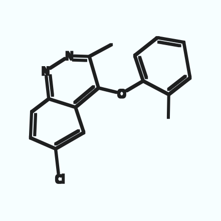 Cc1ccccc1Oc1c(C)nnc2ccc(Cl)cc12